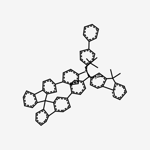 CSC(CC(C)(C)C)c1ccc(-c2ccc3c(c2)C2(c4ccccc4-3)c3ccccc3-c3ccc(-c4ccc(N(c5ccc(-c6ccccc6)cc5)c5ccc6c(c5)C(C)(C)c5ccccc5-6)cc4)cc32)cc1